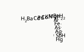 [Ag].[Al].[As].[BaH2].[BeH2].[Cd].[Co].[Fe].[Hg].[KH].[MgH2].[Pd].[SbH]